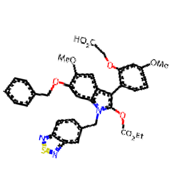 CCOC(=O)Oc1c(-c2ccc(OC)cc2OCC(=O)O)c2cc(OC)c(OCc3ccccc3)cc2n1Cc1ccc2nsnc2c1